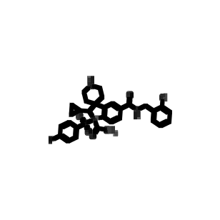 CC(=O)[N+]1(S(=O)(=O)c2ccc(F)cc2)c2ccc(C(=O)NCc3ccccc3Cl)cc2C2(CCNCC2)C1C1CC1